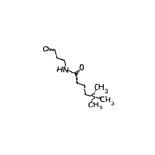 CS(C)(C)CCCC(=O)NCCC=O